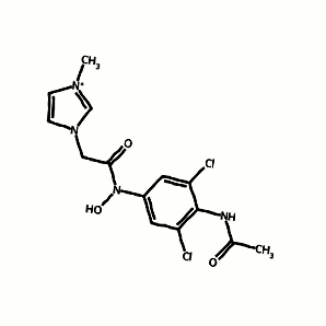 CC(=O)Nc1c(Cl)cc(N(O)C(=O)Cn2cc[n+](C)c2)cc1Cl